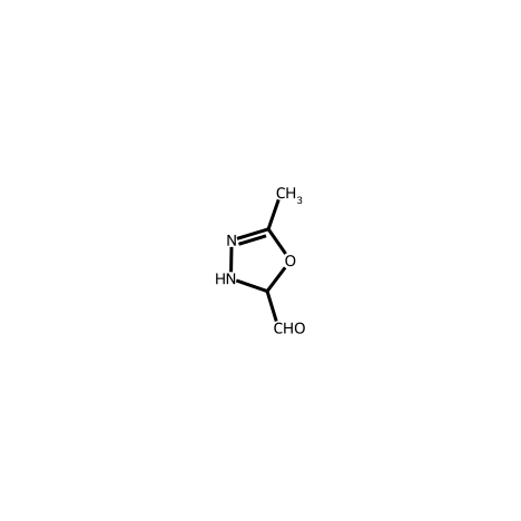 CC1=NNC(C=O)O1